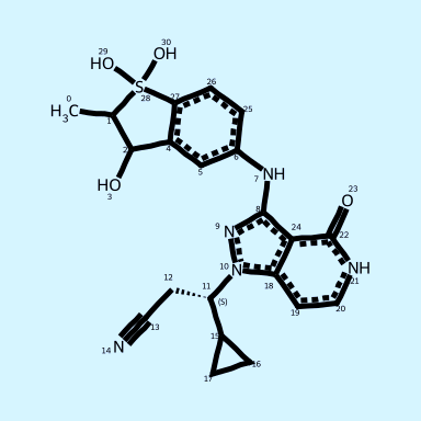 CC1C(O)c2cc(Nc3nn([C@@H](CC#N)C4CC4)c4cc[nH]c(=O)c34)ccc2S1(O)O